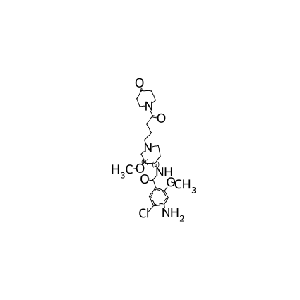 COc1cc(N)c(Cl)cc1C(=O)N[C@H]1CCN(CCCC(=O)N2CCC(=O)CC2)C[C@H]1OC